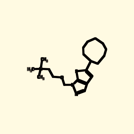 C[Si](C)(C)CCOCn1ncc2cc(C3CCCCCCCC3)sc21